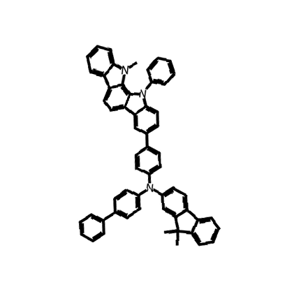 Cn1c2ccccc2c2ccc3c4cc(-c5ccc(N(c6ccc(-c7ccccc7)cc6)c6ccc7c(c6)C(C)(C)c6ccccc6-7)cc5)ccc4n(-c4ccccc4)c3c21